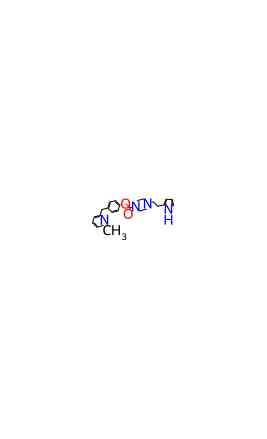 Cc1cccc(Cc2ccc(OC(=O)N3CCN(CCc4ccc[nH]4)CC3)cc2)n1